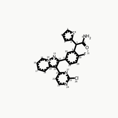 NC(=O)C(c1cccs1)c1cc(-c2nn3ccccc3c2-c2ccnc(Cl)n2)ccc1F